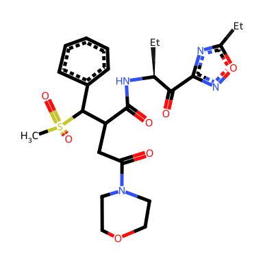 CCc1nc(C(=O)[C@H](CC)NC(=O)C(CC(=O)N2CCOCC2)C(c2ccccc2)S(C)(=O)=O)no1